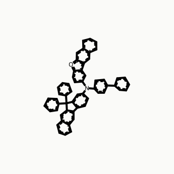 c1ccc(-c2ccc(N(c3ccc4c(c3)C(c3ccccc3)(c3ccccc3)c3cc5ccccc5cc3-4)c3ccc4oc5cc6ccccc6cc5c4c3)cc2)cc1